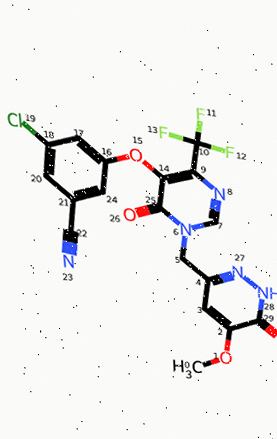 COc1cc(Cn2cnc(C(F)(F)F)c(Oc3cc(Cl)cc(C#N)c3)c2=O)n[nH]c1=O